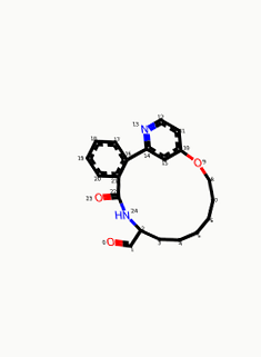 O=CC1CCCCCCOc2ccnc(c2)-c2ccccc2C(=O)N1